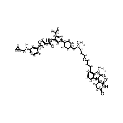 CN(CCCOCCCc1cccc2c1n(C)c(=O)n2C1CCC(=O)NC1=O)CC1CCC(n2cc(NC(=O)c3coc(-c4ccnc(NCC5CC5)c4)n3)c(C(F)F)n2)CC1